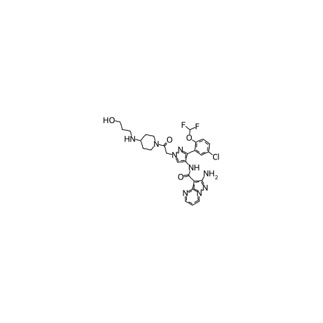 Nc1nn2cccnc2c1C(=O)Nc1cn(CC(=O)N2CCC(NCCCO)CC2)nc1-c1cc(Cl)ccc1OC(F)F